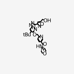 CC(C)(C)c1cc2nnc(-c3cc(CO)on3)n2nc1OCc1ccc(C(=O)NN2CCOCC2)cn1